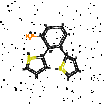 Pc1cccc(-c2cccs2)c1-c1cccs1